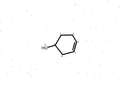 OC1C[CH]C=CC1